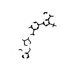 CCn1cncc1CN1CC(F)C(NC(=O)c2cc(-c3cc(C(F)(F)F)c4c(N)ncnn34)cnc2OC)C1